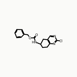 O=C(NC1CCc2nc(Cl)ncc2C1)OCc1ccccc1